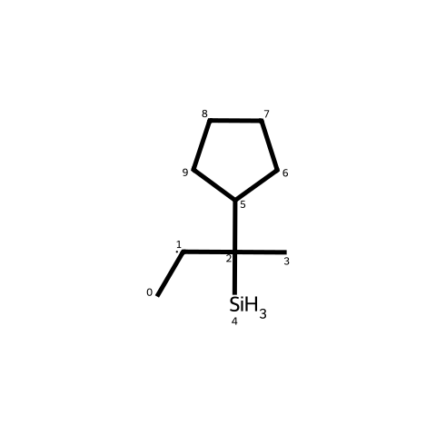 C[CH]C(C)([SiH3])C1CCCC1